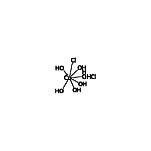 Cl.[OH][Co]([OH])([OH])([OH])([OH])([OH])[Cl]